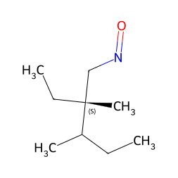 CCC(C)[C@](C)(CC)CN=O